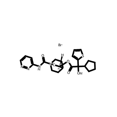 O=C(O[C@H]1C[N+]2(C(=O)Nc3cccnn3)CCC1CC2)C(O)(c1cccs1)C1CCCC1.[Br-]